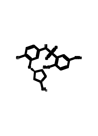 COc1ccc(OC)c(S(=O)(=O)Nc2ccc(Cl)c(O[C@@H]3CCN(C)C3)c2)c1